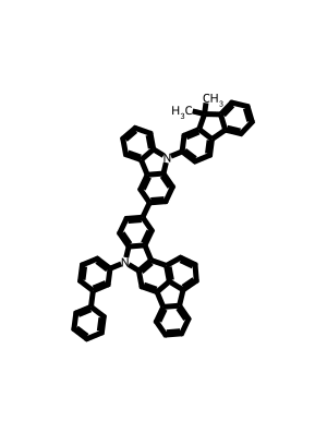 CC1(C)c2ccccc2-c2ccc(-n3c4ccccc4c4cc(-c5ccc6c(c5)c5c7cccc8c7c(cc5n6-c5cccc(-c6ccccc6)c5)-c5ccccc5-8)ccc43)cc21